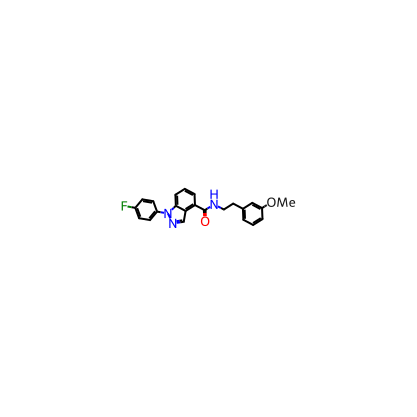 COc1cccc(CCNC(=O)c2cccc3c2cnn3-c2ccc(F)cc2)c1